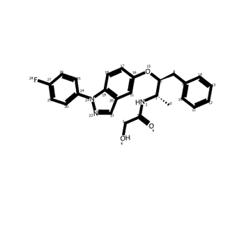 C[C@H](NC(=O)CO)[C@H](Cc1ccccc1)Oc1ccc2c(cnn2-c2ccc(F)cc2)c1